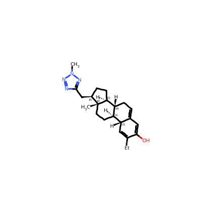 CCC1=C[C@H]2C(=CC[C@@H]3[C@@H]2CC[C@]2(C)[C@@H](Cc4nnn(C)n4)CC[C@@H]32)C=C1O